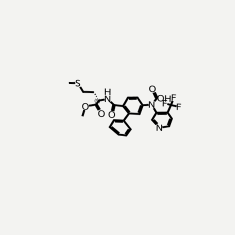 COC(=O)[C@H](CCSC)NC(=O)c1ccc(N(C(=O)O)c2cnccc2C(F)(F)F)cc1-c1ccccc1